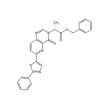 C[C@H](C(=O)OCc1ccccc1)n1cnc2ccc(-c3cnc(-c4ccccc4)o3)nc2c1=O